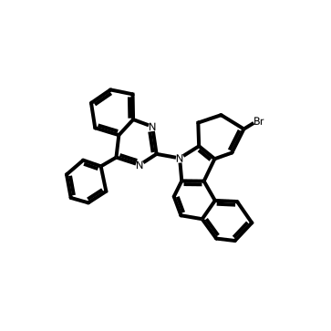 BrC1=Cc2c(n(-c3nc(-c4ccccc4)c4ccccc4n3)c3ccc4ccccc4c23)CC1